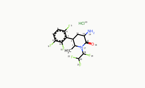 CC1C(c2c(F)ccc(F)c2F)CC(N)C(=O)N1C(F)C(F)F.Cl